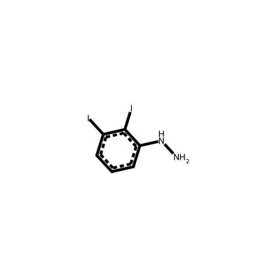 NNc1cccc(I)c1I